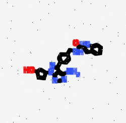 Nc1ncnc2c1c(-c1ccc(CNC(=O)c3cc4ccccc4[nH]3)cc1)nn2C1C=CC(O)C1